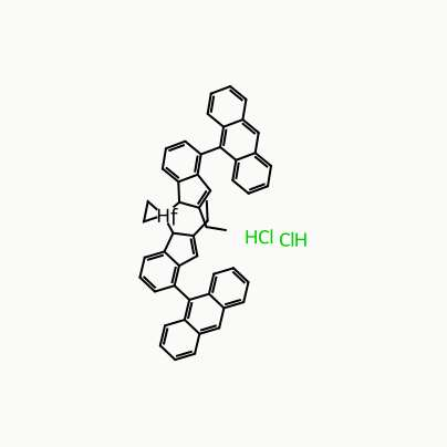 CCC1=Cc2c(-c3c4ccccc4cc4ccccc34)cccc2[CH]1[Hf]1([CH]2C(CC)=Cc3c(-c4c5ccccc5cc5ccccc45)cccc32)[CH2][CH2]1.Cl.Cl